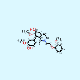 COc1cc2c(cc1O)CC1c3c(cc(O)c(OC)c3-2)CCN1CCOc1ccccc1OC